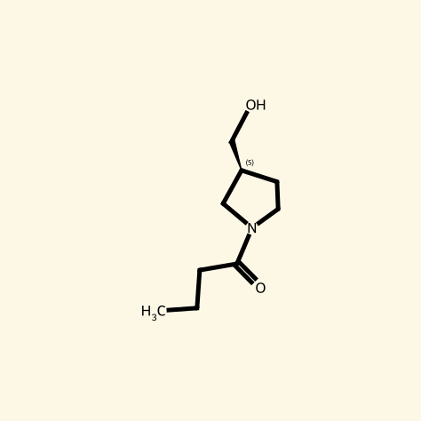 CCCC(=O)N1CC[C@H](CO)C1